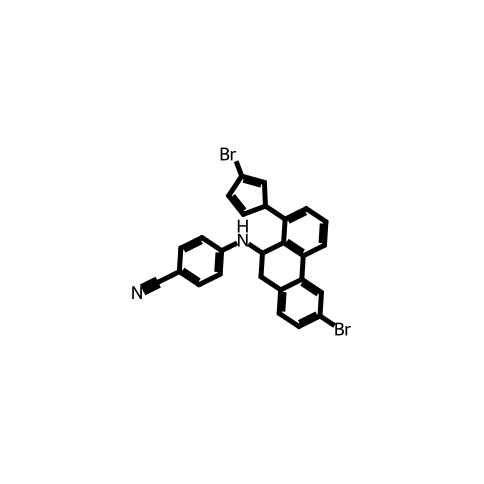 N#Cc1ccc(NC2Cc3ccc(Br)cc3-c3cccc(C4C=CC(Br)=C4)c32)cc1